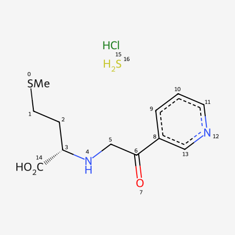 CSCC[C@H](NCC(=O)c1cccnc1)C(=O)O.Cl.S